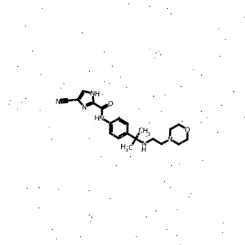 CC(C)(NCCN1CCOCC1)c1ccc(NC(=O)c2nc(C#N)c[nH]2)cc1